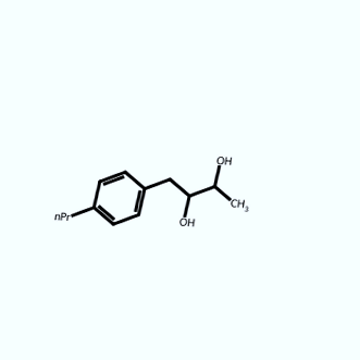 [CH2]CCc1ccc(CC(O)C(C)O)cc1